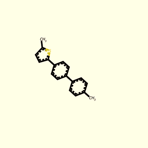 Cc1ccc(-c2ccc(-c3ccc(C)s3)cc2)cc1